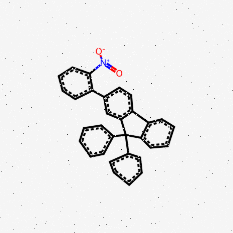 O=[N+]([O-])c1ccccc1-c1ccc2c(c1)C(c1ccccc1)(c1ccccc1)c1ccccc1-2